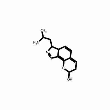 CC(N)CC1N=NC2=C3OC(O)CC=C3C=CC21